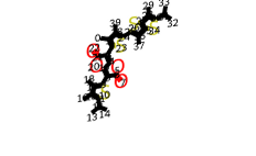 Cc1c(C2=C3OC(=O)C(c4sc(C(C)C)c(C)c4C)=C3OC2=O)sc(-c2sc3c(C)c(C(C)C)sc3c2C)c1C